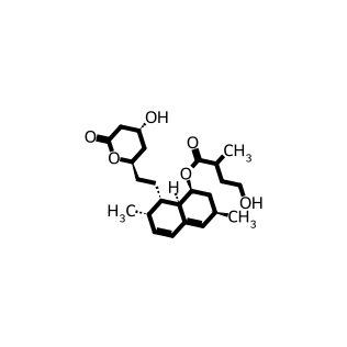 CC(CCO)C(=O)O[C@H]1C[C@@H](C)C=C2C=C[C@H](C)[C@H](CC[C@@H]3C[C@@H](O)CC(=O)O3)[C@H]21